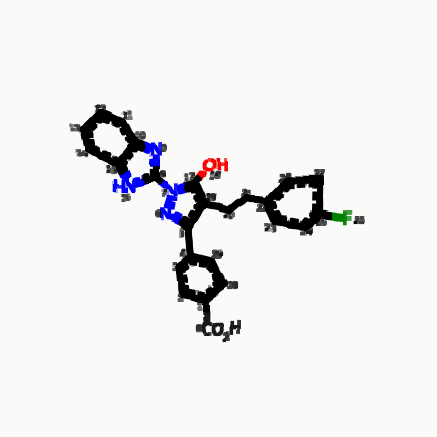 O=C(O)c1ccc(-c2nn(-c3nc4ccccc4[nH]3)c(O)c2CCc2ccc(F)cc2)cc1